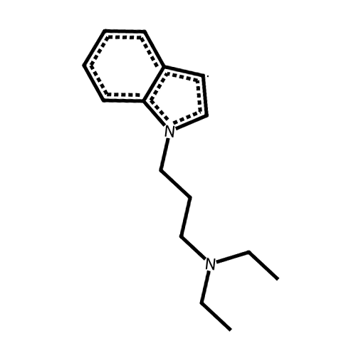 CCN(CC)CCCn1c[c]c2ccccc21